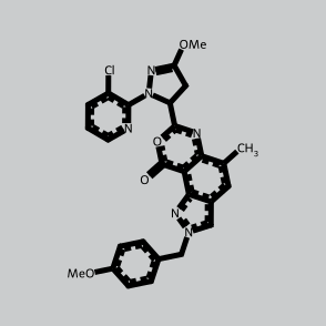 COC1=NN(c2ncccc2Cl)C(c2nc3c(C)cc4cn(Cc5ccc(OC)cc5)nc4c3c(=O)o2)C1